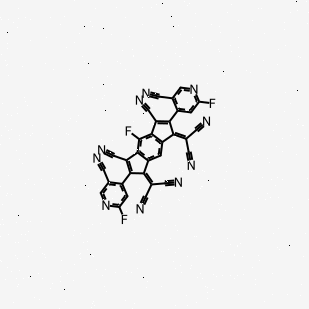 N#CC(C#N)=C1C(c2cc(F)ncc2C#N)=C(C#N)c2c1cc1c(c2F)C(C#N)=C(c2cc(F)ncc2C#N)C1=C(C#N)C#N